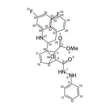 COC(=O)C1=C(C(=O)NNc2ccccc2)C2C=CC1(C(Cc1ccccc1)Nc1cc(F)cc(F)c1)O2